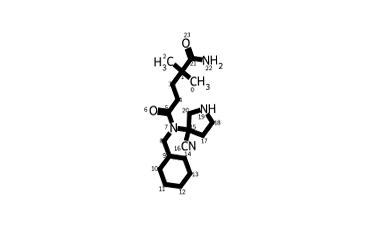 CC(C)(C[CH]C(=O)N(CC1CCCCC1)C1(C#N)CCNC1)C(N)=O